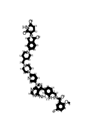 COc1ccc(F)cc1C(=O)NCc1ccc(-c2nn(-c3ccc(N4CCN(CC5CCN(c6ccc7c(c6)CN(C6CCC(=O)NC6=O)C7=O)CC5)CC4)nc3)c3ncnc(N)c23)cc1F